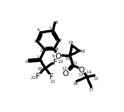 C=C(c1ccc(C)cc1OC1(C(=O)OC(C)(C)C)CC1)C(F)(F)F